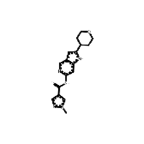 Cn1cc(C(=O)Nc2cc3[nH]c(C4CCOCC4)cc3cn2)cn1